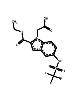 CCOC(=O)c1cc2cc(NS(=O)(=O)C(F)(F)F)ccc2n1CC(=O)O